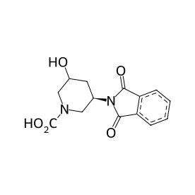 O=C(O)N1CC(O)C[C@@H](N2C(=O)c3ccccc3C2=O)C1